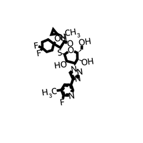 Cc1cc(-c2cn([C@H]3[C@@H](O)[C@@H](CO)O[C@@H](S[C@@H](C(=O)N(C)C4CC4)C4(O)CCC(F)(F)CC4)[C@@H]3O)nn2)cnc1F